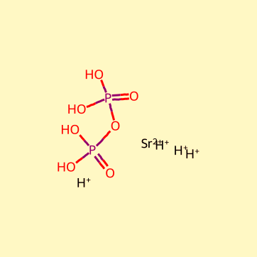 O=P(O)(O)OP(=O)(O)O.[H+].[H+].[H+].[H+].[Sr+2]